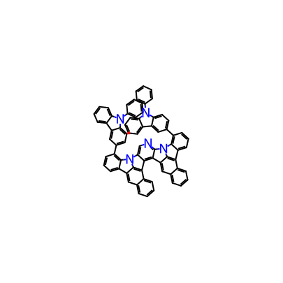 c1ccc(-n2c3ccccc3c3cc(-c4cccc5c6cc7ccccc7c7c8c9c%10cc%11ccccc%11c%11c%12cccc(-c%13ccc%14c(c%13)c%13ccccc%13n%14-c%13ccccc%13)c%12n(c9ncc8n(c45)c67)c%10%11)ccc32)cc1